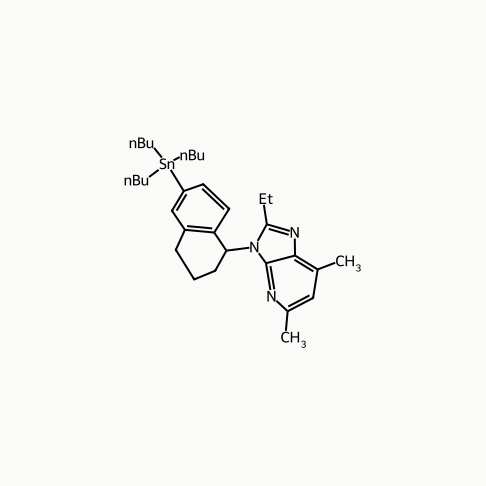 CCC[CH2][Sn]([CH2]CCC)([CH2]CCC)[c]1ccc2c(c1)CCCC2n1c(CC)nc2c(C)cc(C)nc21